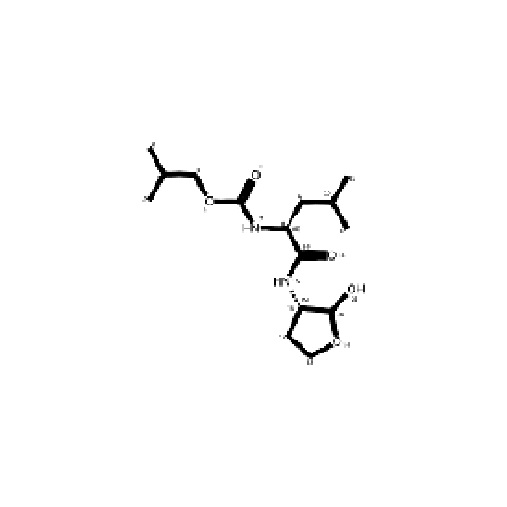 CC(C)COC(=O)N[C@@H](CC(C)C)C(=O)N[C@H]1CCOC1O